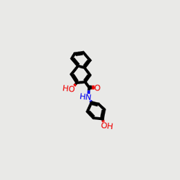 O=C(Nc1ccc(O)cc1)c1cc2ccccc2cc1O